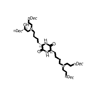 CCCCCCCCCCCCN(CCCCCCCCCCCC)CCCC[C@H]1NC(=O)[C@H](CCCCN(CCCCCCCCCCCC)C[C@@H](O)CCCCCCCCCC)NC1=O